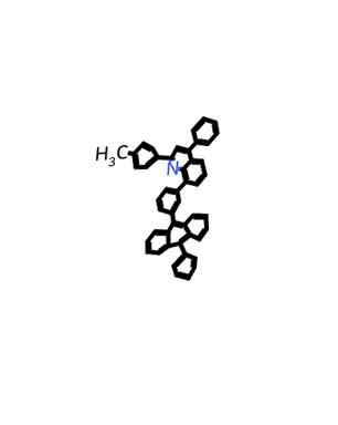 Cc1ccc(-c2cc(-c3ccccc3)c3cccc(-c4cccc(-c5c6ccccc6c(-c6ccccc6)c6ccccc56)c4)c3n2)cc1